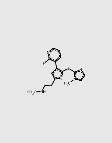 Cn1ccnc1Sc1sc(CCNC(=O)O)cc1-c1cccnc1F